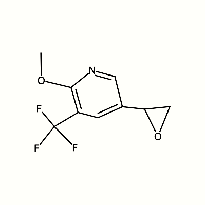 COc1ncc(C2CO2)cc1C(F)(F)F